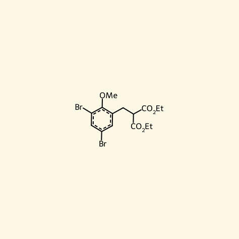 CCOC(=O)C(Cc1cc(Br)cc(Br)c1OC)C(=O)OCC